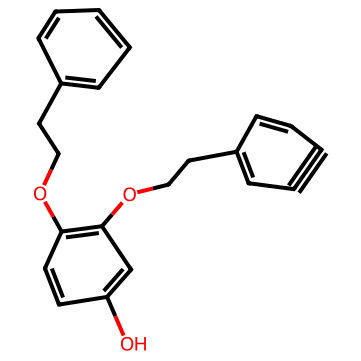 Oc1ccc(OCCc2ccccc2)c(OCCc2cc#ccc2)c1